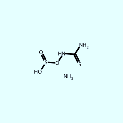 N.NC(=S)NOS(=O)O